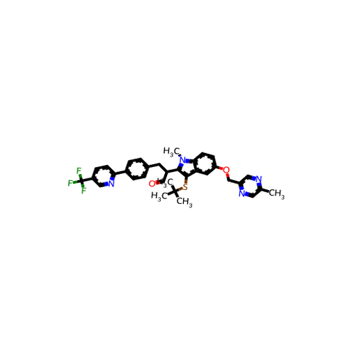 Cc1cnc(COc2ccc3c(c2)c(SC(C)(C)C)c(C(C=O)Cc2ccc(-c4ccc(C(F)(F)F)cn4)cc2)n3C)cn1